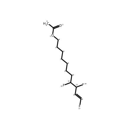 CC(=O)OCCCCCCCC(F)C(F)C=CF